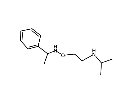 CC(C)NCCONC(C)c1ccccc1